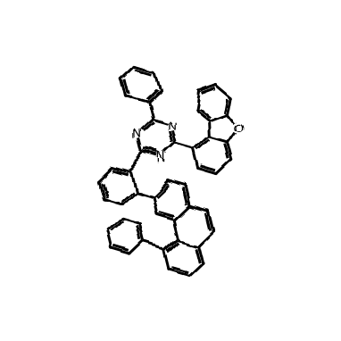 c1ccc(-c2nc(-c3ccccc3-c3ccc4ccc5cccc(-c6ccccc6)c5c4c3)nc(-c3cccc4oc5ccccc5c34)n2)cc1